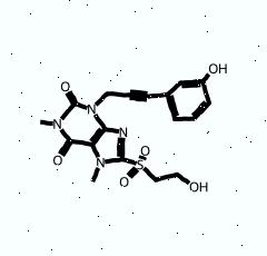 Cn1c(=O)c2c(nc(S(=O)(=O)CCO)n2C)n(CC#Cc2cccc(O)c2)c1=O